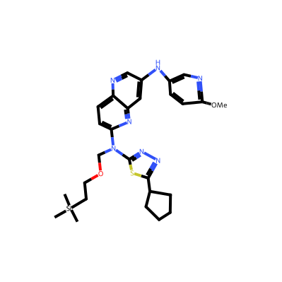 COc1ccc(Nc2cnc3ccc(N(COCC[Si](C)(C)C)c4nnc(C5CCCC5)s4)nc3c2)cn1